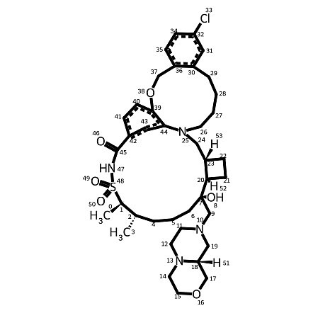 C[C@@H]1[C@@H](C)CCC[C@@](O)(CN2CCN3CCOC[C@H]3C2)[C@@H]2CC[C@H]2CN2CCCCc3cc(Cl)ccc3COc3ccc(cc32)C(=O)NS1(=O)=O